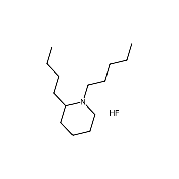 CCCCCN1CCCCC1CCCC.F